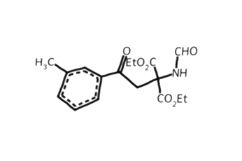 CCOC(=O)C(CC(=O)c1cccc(C)c1)(NC=O)C(=O)OCC